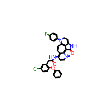 CN1C=CC(NC(=O)Cc2cc(Cl)ccc2Oc2ccccc2)=c2ccc3c4c([nH]c(=O)c-4c21)=CCN3c1ccc(F)cc1